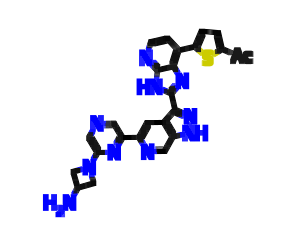 CC(=O)c1ccc(-c2ccnc3[nH]c(-c4n[nH]c5cnc(-c6cncc(N7CC(N)C7)n6)cc45)nc23)s1